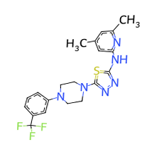 Cc1cc(C)nc(Nc2nnc(N3CCN(c4cccc(C(F)(F)F)c4)CC3)s2)c1